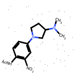 CC(=O)Nc1ccc(N2CCC(N(C)C)C2)cc1[N+](=O)[O-]